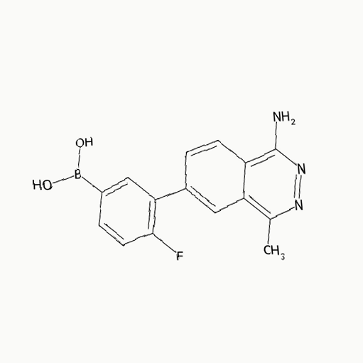 Cc1nnc(N)c2ccc(-c3cc(B(O)O)ccc3F)cc12